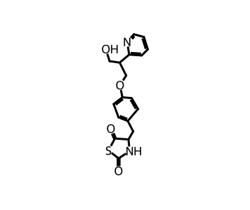 O=C1NC(Cc2ccc(OCC(CO)c3ccccn3)cc2)C(=O)S1